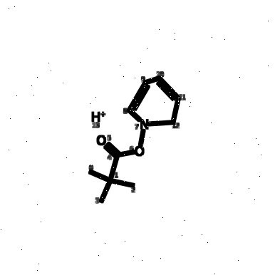 CC(C)(C)C(=O)ON1C=CC=CC1.[H+]